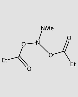 CCC(=O)ON(NC)OC(=O)CC